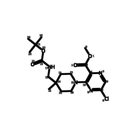 COC(=O)c1ncc(Cl)nc1N1CCC(C)(CNC(=O)OC(C)(C)C)CC1